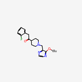 CC(C)(C)Oc1nccnc1CN1CCC(C(=O)Cc2ccccc2F)CC1